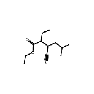 CCOC(=O)C(CC)C(C#N)CC(C)C